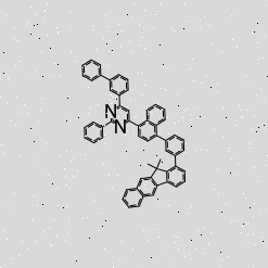 CC1(C)c2cc3ccccc3cc2-c2cccc(-c3cccc(-c4ccc(-c5cc(-c6cccc(-c7ccccc7)c6)nc(-c6ccccc6)n5)c5ccccc45)c3)c21